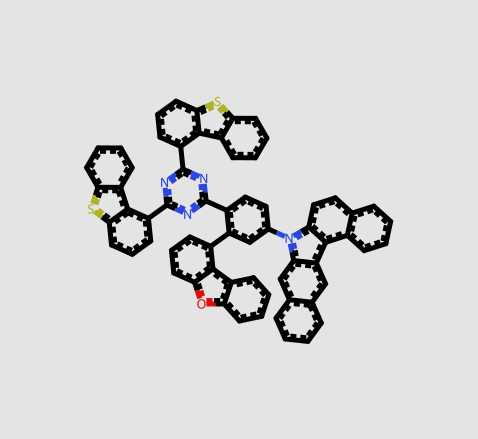 c1ccc2cc3c(cc2c1)c1c2ccccc2ccc1n3-c1ccc(-c2nc(-c3cccc4sc5ccccc5c34)nc(-c3cccc4sc5ccccc5c34)n2)c(-c2cccc3oc4ccccc4c23)c1